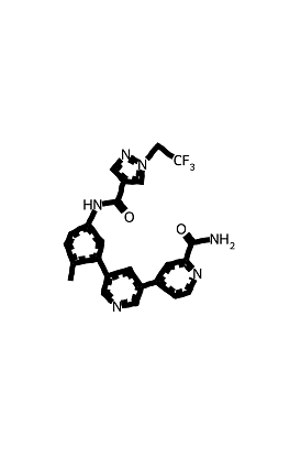 Cc1ccc(NC(=O)c2cnn(CC(F)(F)F)c2)cc1-c1cncc(-c2ccnc(C(N)=O)c2)c1